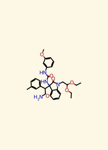 CCOC(CN1C(=O)C(NC(=O)Nc2cccc(OC)c2)(C(C(N)=O)c2cccc(C)c2)c2ccccc21)OCC